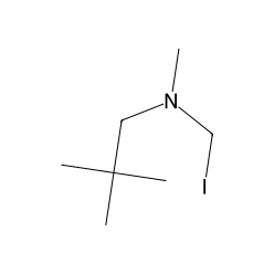 CN(CI)CC(C)(C)C